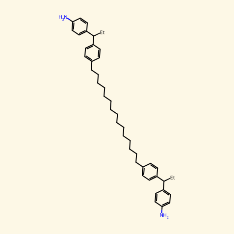 CCC(c1ccc(N)cc1)c1ccc(CCCCCCCCCCCCCCCc2ccc(C(CC)c3ccc(N)cc3)cc2)cc1